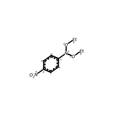 CCON(OCC)c1ccc([N+](=O)[O-])cc1